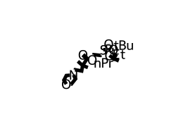 CCCC(C)(CC)OP(=O)(OC(C)(C)C)SCCOC(=O)C(C)(C)CCN1CCOCC1